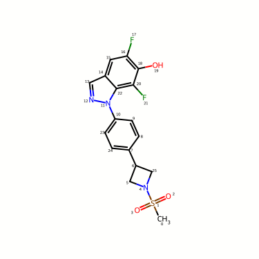 CS(=O)(=O)N1CC(c2ccc(-n3ncc4cc(F)c(O)c(F)c43)cc2)C1